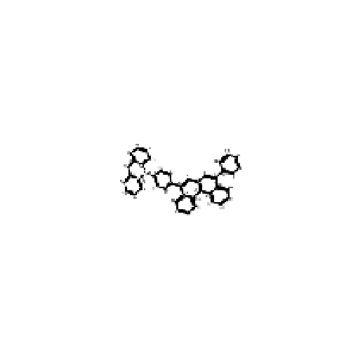 c1ccc(-c2cc3cc(-c4ccc(N5c6ccccc6Cc6ccccc65)cc4)c4ccccc4c3c3ccccc23)cc1